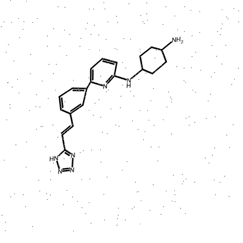 NC1CCC(Nc2cccc(-c3cccc(C=Cc4nnn[nH]4)c3)n2)CC1